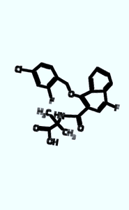 CC(C)(NC(=O)c1cc(F)c2ccccc2c1OCc1ccc(Cl)cc1F)C(=O)O